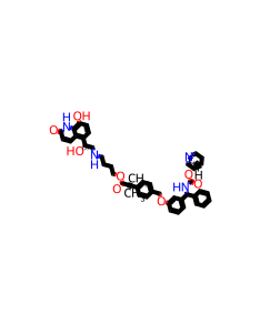 CC(C)(C(=O)OCCCCNC[C@@H](O)c1ccc(O)c2[nH]c(=O)ccc12)c1ccc(COc2cccc(C(NC(=O)O[C@H]3CN4CCC3CC4)c3ccccc3)c2)cc1